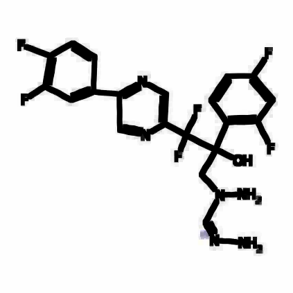 N/N=C\N(N)CC(O)(c1ccc(F)cc1F)C(F)(F)c1cnc(-c2ccc(F)c(F)c2)cn1